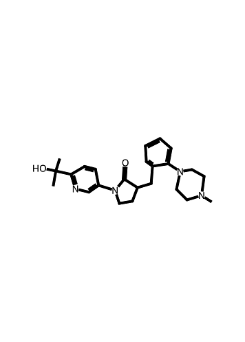 CN1CCN(c2ccccc2CC2CCN(c3ccc(C(C)(C)O)nc3)C2=O)CC1